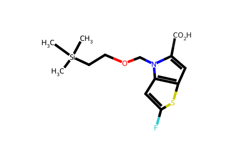 C[Si](C)(C)CCOCn1c(C(=O)O)cc2sc(F)cc21